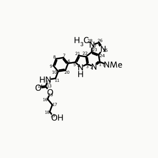 CNc1nc2[nH]c(-c3cccc(CNC(=O)OCCCO)c3)cc2c2c1ncn2C